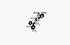 COc1ccnc(C(=O)N[C@@H](C)C(=O)O[C@@H](C)[C@@H](c2ccc(C)cc2C)C2CCCC2)c1OCOC(C)=O